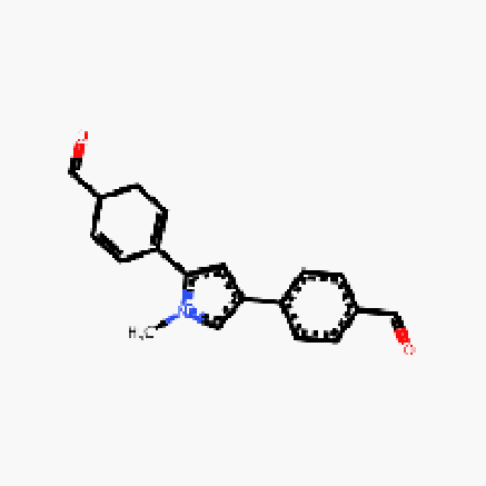 Cn1cc(-c2ccc(C=O)cc2)cc1C1=CCC(C=O)C=C1